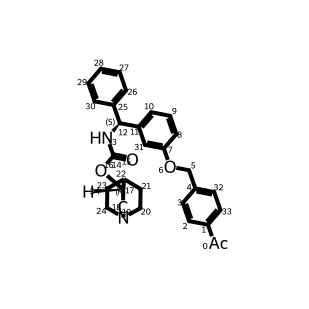 CC(=O)c1ccc(COc2cccc([C@@H](NC(=O)O[C@H]3CN4CCC3CC4)c3ccccc3)c2)cc1